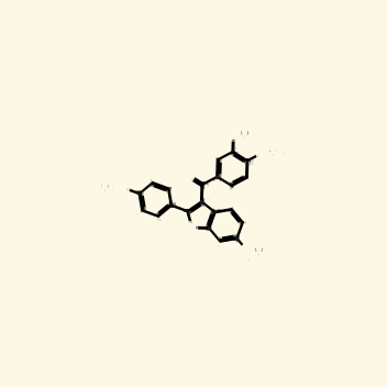 COc1ccc(-c2oc3cc(OC)ccc3c2C(=O)c2ccc(OC)c(OC)c2)cc1